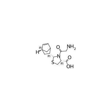 NCC(=O)N1C([C@@H]2C[C@@H]3C=CC2C3)SC[C@H]1C(=O)O